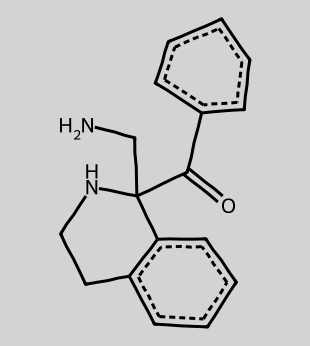 NCC1(C(=O)c2ccccc2)NCCc2ccccc21